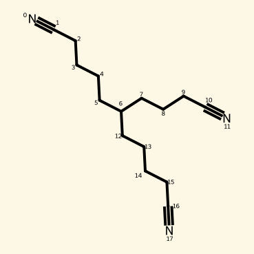 N#CCCCCC(CCCC#N)CCCCC#N